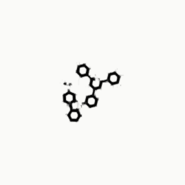 OB(O)c1ccc2c3ccccc3n(-c3cccc(-c4cc(-c5ccccc5)nc(-c5ccccc5)c4)c3)c2c1